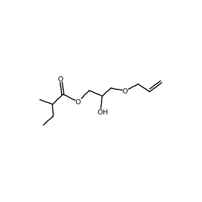 C=CCOCC(O)COC(=O)C(C)CC